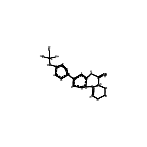 N=C1Sc2cc(-c3ccc(OC(F)(F)F)cc3)ccc2C2=NCCCN12